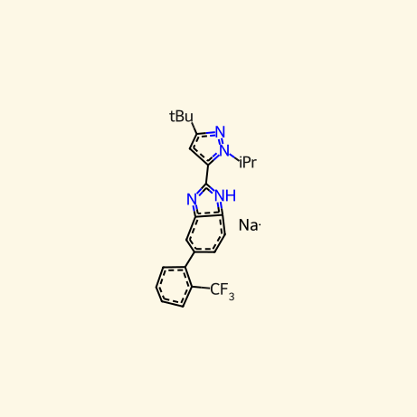 CC(C)n1nc(C(C)(C)C)cc1-c1nc2cc(-c3ccccc3C(F)(F)F)ccc2[nH]1.[Na]